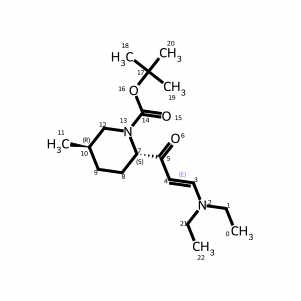 CCN(/C=C/C(=O)[C@@H]1CC[C@@H](C)CN1C(=O)OC(C)(C)C)CC